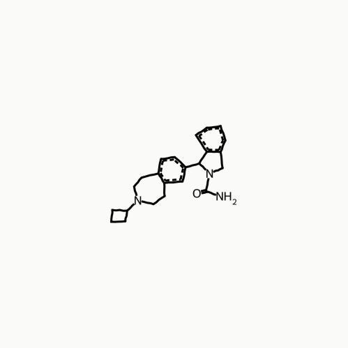 NC(=O)N1Cc2ccccc2C1c1ccc2c(c1)CCN(C1CCC1)CC2